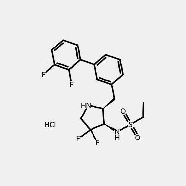 CCS(=O)(=O)N[C@@H]1[C@H](Cc2cccc(-c3cccc(F)c3F)c2)NCC1(F)F.Cl